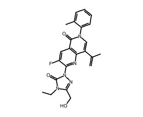 C=C(C)c1cn(-c2ccccc2C)c(=O)c2cc(F)c(-n3nc(CO)n(CC)c3=O)nc12